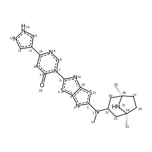 CN(c1nc2sc(-n3cnc(-c4cn[nH]c4)cc3=O)nc2s1)C1C[C@]2(C)CC[C@](C)(C1)N2